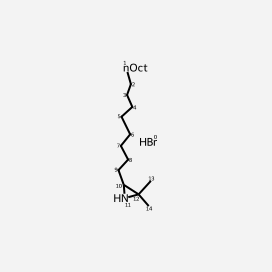 Br.CCCCCCCCCCCCCCCCC1NC1(C)C